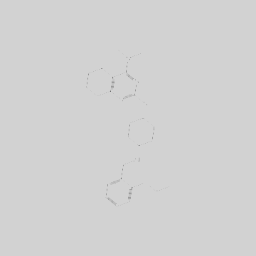 CCOc1ccccc1CN[C@H]1CC[C@@H](Nc2nc3c(c(N(C)C)n2)CCCC3)CC1